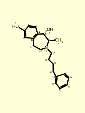 C[C@@H]1[C@@H](O)c2ccc(O)cc2CCN1CCCCc1ccccc1